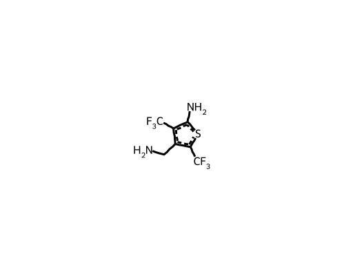 NCc1c(C(F)(F)F)sc(N)c1C(F)(F)F